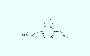 NCC(=O)N1CCC[C@H]1C(=O)NCC=O